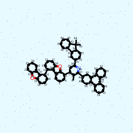 Cc1c(-c2cccc3c2oc2cccc(-c4cccc5oc6ccccc6c45)c23)cc(-c2ccc3c(c2)-c2ccccc2C3(C)C)nc1-c1ccc2c3ccccc3c3ccccc3c2c1